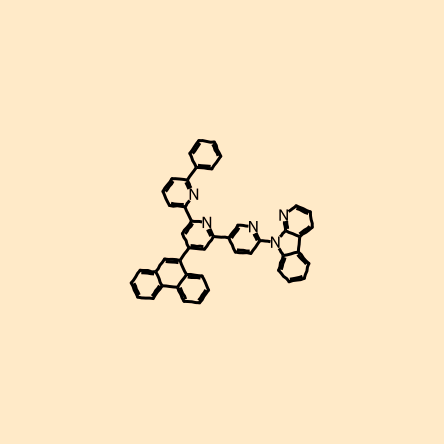 c1ccc(-c2cccc(-c3cc(-c4cc5ccccc5c5ccccc45)cc(-c4ccc(-n5c6ccccc6c6cccnc65)nc4)n3)n2)cc1